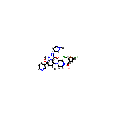 CCOC1(c2cccnc2)C=CC(N2CCN(C(=O)c3cc(Cl)sc3Cl)C[C@H]2CC)=C(C(=O)N[C@@H]2CCN(C)C2)N1